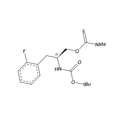 CNC(=S)OC[C@H](Cc1ccccc1F)NC(=O)OC(C)(C)C